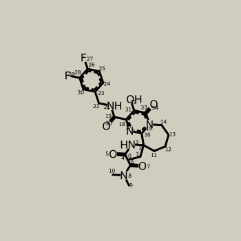 CCC1(NC(=O)C(=O)N(C)C)CCCCn2c1nc(C(=O)NCc1ccc(F)c(F)c1)c(O)c2=O